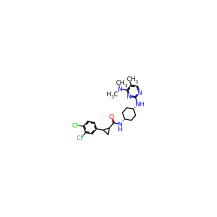 Cc1cnc(N[C@H]2CC[C@@H](NC(=O)C3CC3c3ccc(Cl)c(Cl)c3)CC2)nc1N(C)C